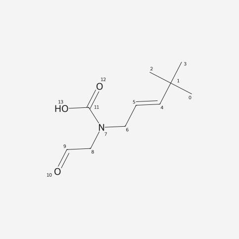 CC(C)(C)C=CCN(CC=O)C(=O)O